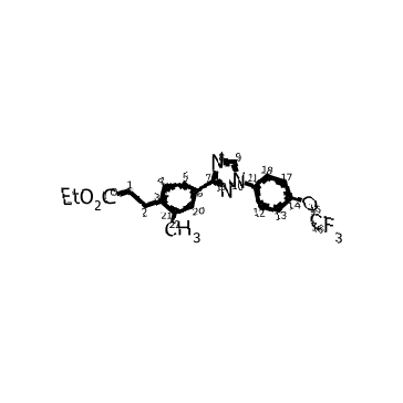 CCOC(=O)CCc1ccc(-c2ncn(-c3ccc(OC(F)(F)F)cc3)n2)cc1C